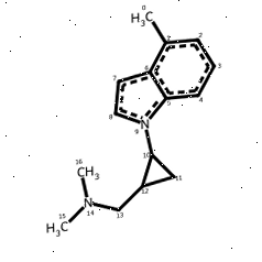 Cc1cccc2c1ccn2C1CC1CN(C)C